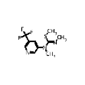 CN=C(SC)N(C)c1cncc(C(F)(F)F)c1